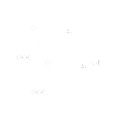 CC(=O)CC(=O)C(=O)[O-].CC(=O)CC(=O)C(=O)[O-].[Cd+2]